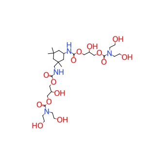 CC1(C)CC(NC(=O)OCC(O)COC(=O)N(CCO)CCO)CC(C)(CNC(=O)OCC(O)COC(=O)N(CCO)CCO)C1